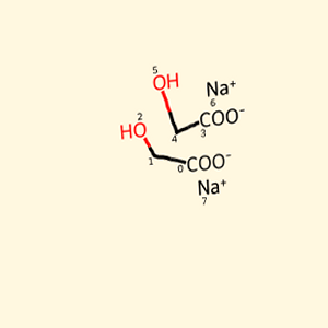 O=C([O-])CO.O=C([O-])CO.[Na+].[Na+]